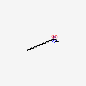 CCCC=CCCCCCCCCCCCCCC(CCC)(P(=O)=O)[N+](C)(C)C